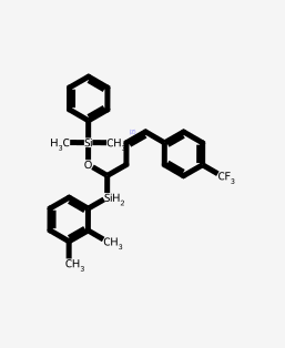 Cc1cccc([SiH2]C(C/C=C\c2ccc(C(F)(F)F)cc2)O[Si](C)(C)c2ccccc2)c1C